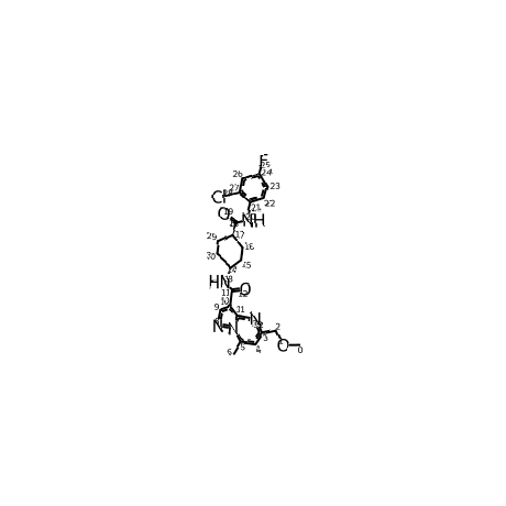 COCc1cc(C)n2ncc(C(=O)N[C@H]3CC[C@H](C(=O)Nc4ccc(F)cc4Cl)CC3)c2n1